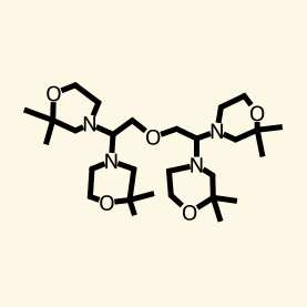 CC1(C)CN(C(COCC(N2CCOC(C)(C)C2)N2CCOC(C)(C)C2)N2CCOC(C)(C)C2)CCO1